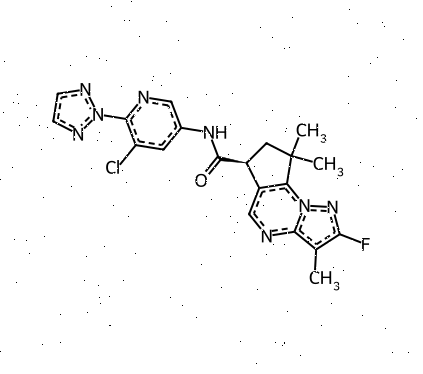 Cc1c(F)nn2c3c(cnc12)[C@@H](C(=O)Nc1cnc(-n2nccn2)c(Cl)c1)CC3(C)C